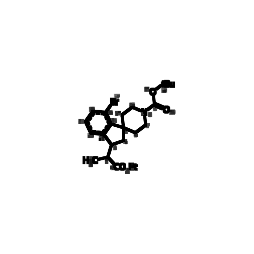 CCOC(=O)C(C)C1CC2(CCN(C(=O)OC(C)(C)C)CC2)c2c(Br)cccc21